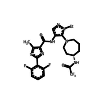 CCn1ncc(NC(=O)c2nc(-c3c(F)cccc3F)sc2C)c1N1CCC[C@H](NC(=O)C(F)(F)F)CC1